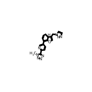 Cn1nnnc1-c1ccc(C2=C3OC=C(Cn4ccnn4)[C@@H]3CC=C2)cn1